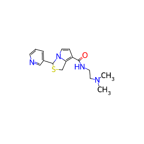 CN(C)CCNC(=O)c1ccn2c1CSC2c1cccnc1